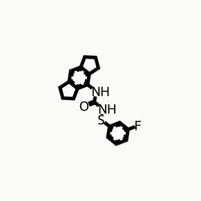 O=C(NSc1cccc(F)c1)Nc1c2c(cc3c1CCC3)CCC2